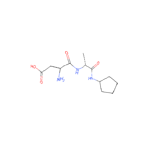 CC(NC(=O)C(N)CC(=O)O)C(=O)NC1CCCC1